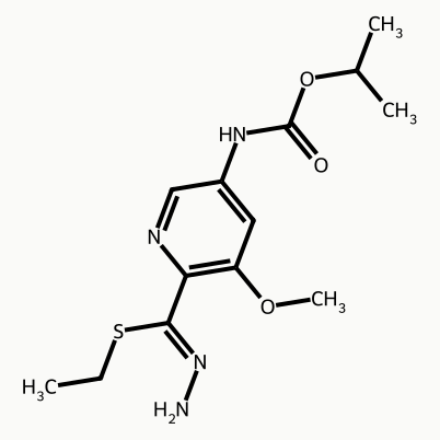 CCS/C(=N\N)c1ncc(NC(=O)OC(C)C)cc1OC